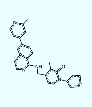 Cc1cc(-c2cc3ccnc(NCc4ccn(-c5ccncc5)c(=O)c4C)c3cn2)ccn1